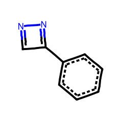 C1=NN=C1c1ccccc1